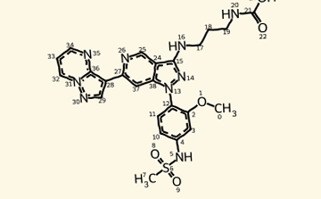 COc1cc(NS(C)(=O)=O)ccc1-n1nc(NCCCNC(=O)O)c2cnc(-c3cnn4cccnc34)cc21